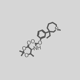 CCC1(c2cccc(OC(=O)N[C@@H]3C(=O)OC(C)(C)OC3C)c2)CCCCN(C)C1